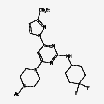 CCOC(=O)c1ccn(-c2cc(N3CCN(C(C)=O)CC3)nc(NC3CCC(F)(F)CC3)n2)n1